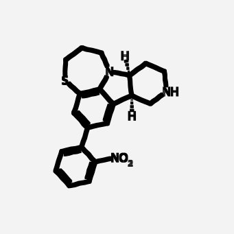 O=[N+]([O-])c1ccccc1-c1cc2c3c(c1)[C@@H]1CNCC[C@@H]1N3CCCS2